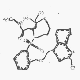 CC1(C)SCCN(S(=O)(=O)c2ccccc2OCc2cc(Cl)nc3ccccc23)C1C(=O)NO